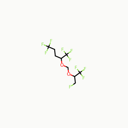 FCC(OCOC(CCC(F)(F)F)C(F)(F)F)C(F)(F)F